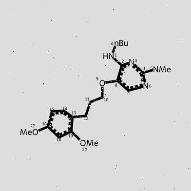 CCCCNc1nc(NC)ncc1OCCCc1ccc(OC)cc1OC